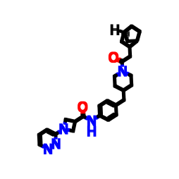 O=C(Nc1ccc(CC2CCN(C(=O)CC3C[C@@H]4CCC3C4)CC2)cc1)C1CN(c2cccnn2)C1